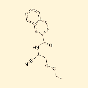 CCOOCC(C#N)NC(=O)c1ccc2ccccc2c1